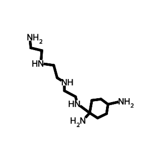 NCCNCCNCCNC1(N)CCC(N)CC1